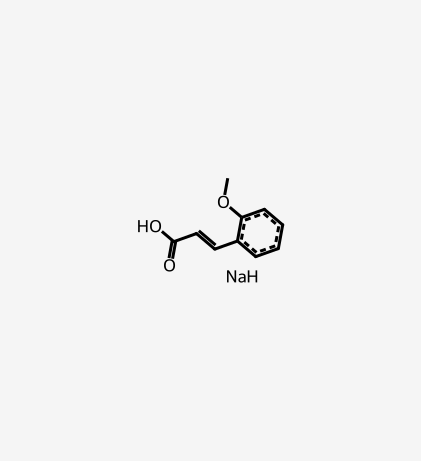 COc1ccccc1/C=C/C(=O)O.[NaH]